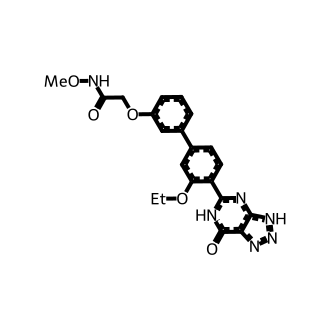 CCOc1cc(-c2cccc(OCC(=O)NOC)c2)ccc1-c1nc2[nH]nnc2c(=O)[nH]1